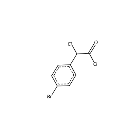 O=C(Cl)C(Cl)c1ccc(Br)cc1